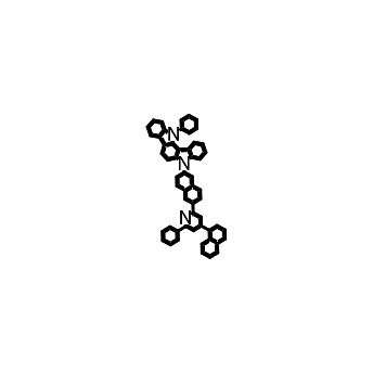 c1ccc(-c2cc(-c3cccc4ccccc34)cc(-c3ccc4cc(-n5c6ccccc6c6c5ccc5c7ccccc7n(-c7ccccc7)c56)ccc4c3)n2)cc1